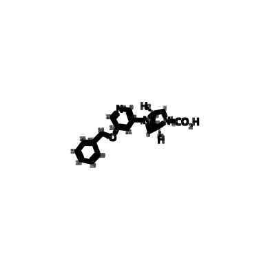 O=C(O)N1C[C@H]2C[C@@H]1CN2c1cncc(OCc2ccccc2)c1